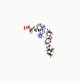 CCn1cncc1Cn1c(CN2CCC(Oc3cccc(COc4ccc(Cl)cc4F)n3)CC2)nc2ccc(CCC(=O)O)cc21